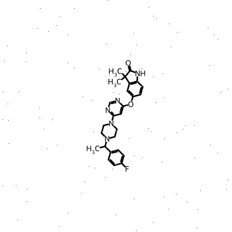 CC(c1ccc(F)cc1)N1CCN(c2cc(Oc3ccc4c(c3)C(C)(C)C(=O)N4)ncn2)CC1